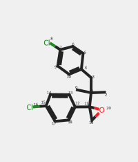 CC(C)(Cc1ccc(Cl)cc1)C1(c2ccc(Cl)cc2)CO1